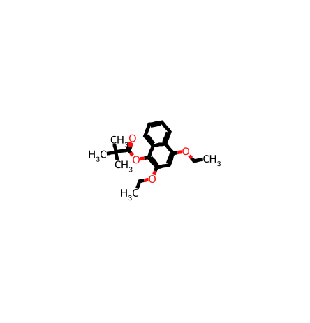 CCOc1cc(OCC)c2ccccc2c1OC(=O)C(C)(C)C